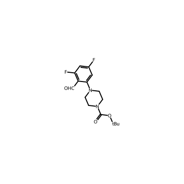 CC(C)(C)OC(=O)N1CCN(c2cc(F)cc(F)c2C=O)CC1